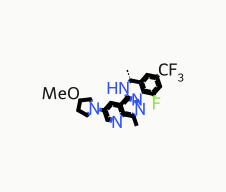 CO[C@H]1CCN(c2cnc3c(C)nnc(N[C@H](C)c4cc(F)cc(C(F)(F)F)c4)c3c2)C1